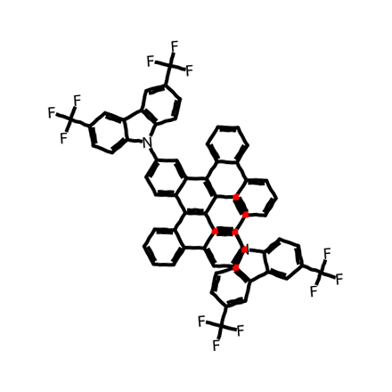 FC(F)(F)c1ccc2c(c1)c1cc(C(F)(F)F)ccc1n2-c1ccc2c(-c3ccccc3-c3ccccc3)c3cc(-n4c5ccc(C(F)(F)F)cc5c5cc(C(F)(F)F)ccc54)ccc3c(-c3ccccc3-c3ccccc3)c2c1